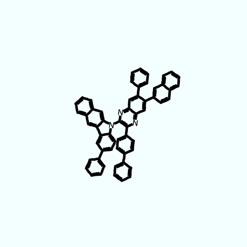 c1ccc(-c2ccc(-c3nc4cc(-c5ccc6ccccc6c5)c(-c5ccccc5)cc4nc3-n3c4ccc(-c5ccccc5)cc4c4cc5ccccc5cc43)cc2)cc1